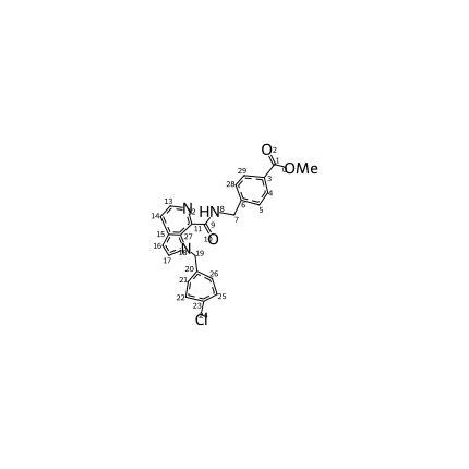 COC(=O)c1ccc(CNC(=O)c2nccc3ccn(Cc4ccc(Cl)cc4)c23)cc1